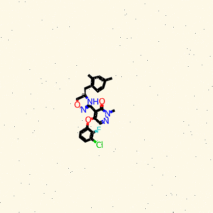 Cc1ccc(C[C@@H]2CON=C(c3c(Oc4cccc(Cl)c4F)cnn(C)c3=O)N2)c(C)c1